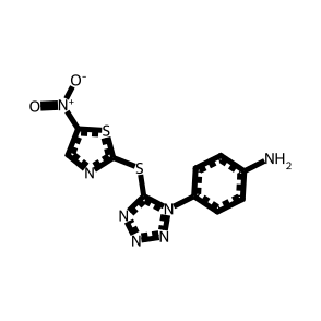 Nc1ccc(-n2nnnc2Sc2ncc([N+](=O)[O-])s2)cc1